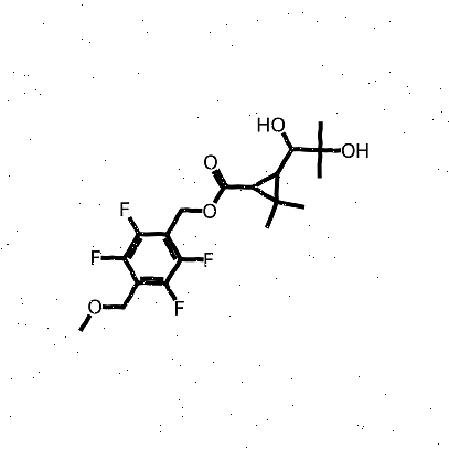 COCc1c(F)c(F)c(COC(=O)C2C(C(O)C(C)(C)O)C2(C)C)c(F)c1F